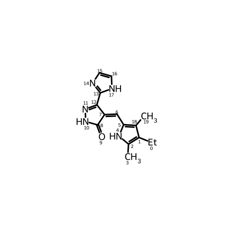 CCc1c(C)[nH]c(C=C2C(=O)NN=C2c2ncc[nH]2)c1C